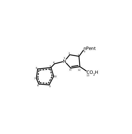 CCCCCC1CN(Cc2ccccc2)C=C1C(=O)O